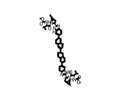 COC(=O)N[C@H](C(=O)N1C2C(C)C2C[C@H]1c1nc2ccc(-c3ccc4cc(-c5ccc6cc(-c7ccc8nc([C@@H]9CC%10C([C@@H]%10C)N9C(=O)[C@@H](NC(=O)OC)C(C)C)[nH]c8c7)ccc6c5)ccc4c3)cc2[nH]1)C(C)C